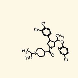 CC(Oc1ccc(Cl)cn1)C1CN(C(=O)C2CCN(C(C)O)CC2)CC1c1ccc(Cl)c(Cl)c1